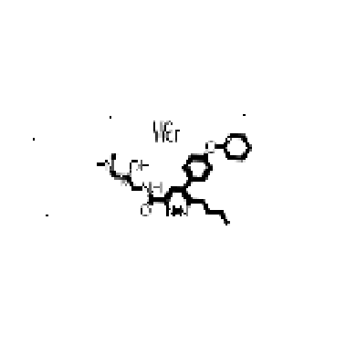 CCCCc1nnc(C(=O)NC[C@@H](O)CN(C)C)cc1-c1ccc(OC2CCCCC2)cc1.Cl.Cl